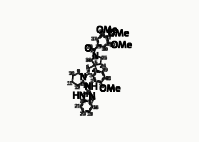 COc1ccc(C2(CCN3CCCCC3Nc3nc4ccccc4[nH]3)CCN(C(=O)c3cc(OC)c(OC)c(OC)c3)C2)cc1